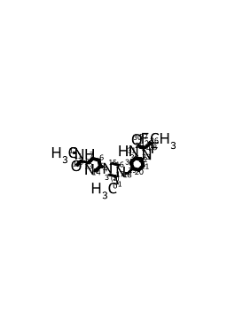 CC[C@H]1CN(c2ccc(C(=O)NC)nc2)CCN1Cc1ccc2nc(C(C)(F)F)c(=O)[nH]c2c1